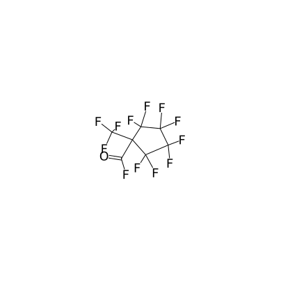 O=C(F)C1(C(F)(F)F)C(F)(F)C(F)(F)C(F)(F)C1(F)F